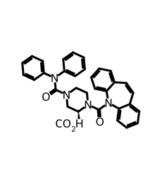 O=C(O)[C@H]1CN(C(=O)N(c2ccccc2)c2ccccc2)CCN1C(=O)N1c2ccccc2C=Cc2ccccc21